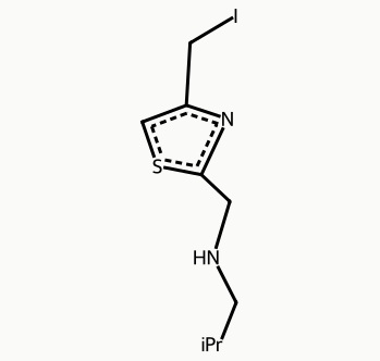 CC(C)CNCc1nc(CI)cs1